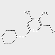 CCc1cc(CC2C[CH]CCC2)cc(C)c1N